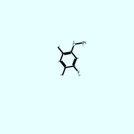 Cc1cc(C)c(OC(C)C)cc1F